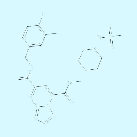 Cc1cc(CNC(=O)c2cc(C(=O)NC[C@H]3CC[C@@H](NS(C)(=O)=O)CC3)n3ncnc3n2)ccc1F